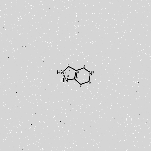 C1CC2=C(C[N]1)CNN2